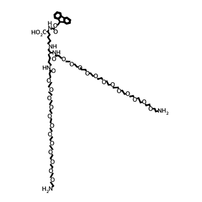 NCCOCCOCCOCCOCCOCCOCCOCCOCCOCCOCCOCCOCCC(=O)NCCCC[C@@H](CNCCCC[C@H](NC(=O)OCC1c2ccccc2-c2ccccc21)C(=O)O)NC(=O)CCOCCOCCOCCOCCOCCOCCOCCOCCOCCOCCOCCOCCN